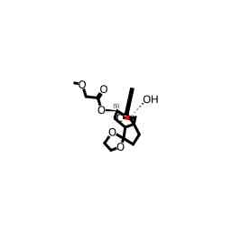 C=C1C[C@H](OC(=O)COC)C2CCCC3(CCC4(OCCO4)C23)C[C@@H]1O